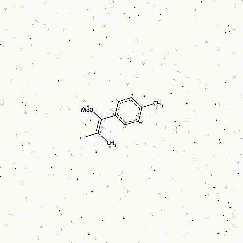 CO/C(=C(/C)I)c1ccc(C)cc1